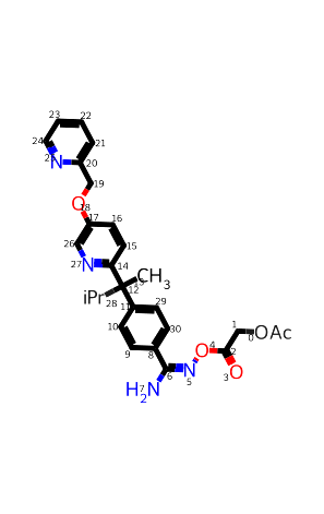 CC(=O)OCC(=O)O/N=C(/N)c1ccc(C(C)(c2ccc(OCc3ccccn3)cn2)C(C)C)cc1